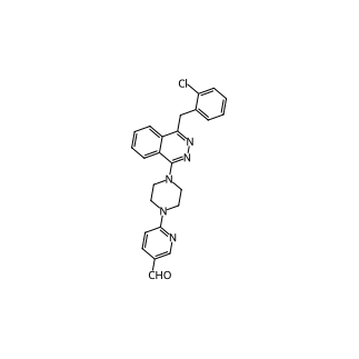 O=Cc1ccc(N2CCN(c3nnc(Cc4ccccc4Cl)c4ccccc34)CC2)nc1